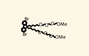 COCCOCCOCCOCCCCCCC1(CCCCCCOCCOCCOCCOC)c2cc(Br)ccc2-c2ccc(Br)cc21